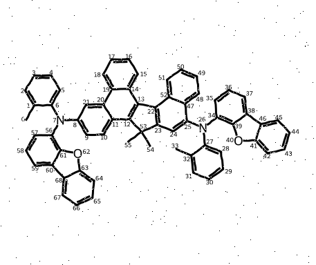 Cc1ccccc1N(c1ccc2c3c(c4ccccc4c2c1)-c1c(cc(N(c2ccccc2C)c2cccc4c2oc2ccccc24)c2ccccc12)C3(C)C)c1cccc2c1oc1ccccc12